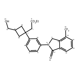 CCOC(=O)CC1(c2cccc(N3Cc4c(cccc4C(F)(F)F)C3=O)c2)CC(CO)C1